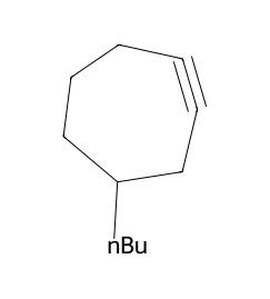 CCCCC1CC#CCCC1